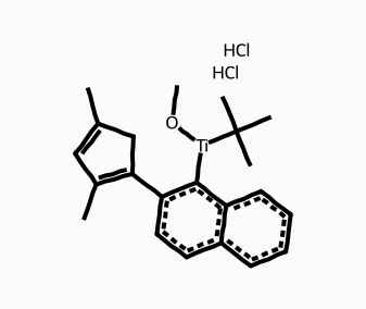 C[O][Ti]([c]1c(C2=C(C)C=C(C)C2)ccc2ccccc12)[C](C)(C)C.Cl.Cl